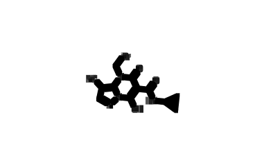 CC(C)Cn1c(=O)c(C(=O)NC2CC2)c(O)n2ncc(C#N)c12